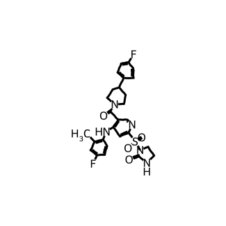 Cc1cc(F)ccc1Nc1cc(S(=O)(=O)N2CCNC2=O)ncc1C(=O)N1CCC(c2ccc(F)cc2)CC1